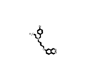 C=CCN(CC=CCOc1ccc2cnncc2c1)Cc1ccc(Br)cc1